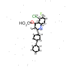 Cc1c(-c2ccc(-c3ccccc3)cc2)nc2ccc(F)c(Cl)c2c1OC(=O)O